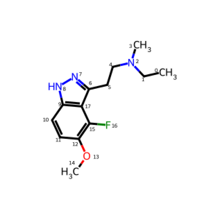 CCN(C)CCc1n[nH]c2ccc(OC)c(F)c12